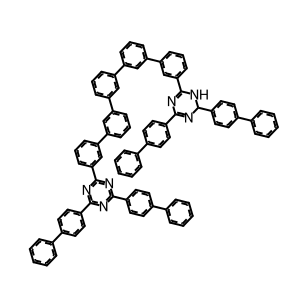 c1ccc(-c2ccc(C3=NC(c4ccc(-c5ccccc5)cc4)NC(c4cccc(-c5cccc(-c6cccc(-c7cccc(-c8cccc(-c9nc(-c%10ccc(-c%11ccccc%11)cc%10)nc(-c%10ccc(-c%11ccccc%11)cc%10)n9)c8)c7)c6)c5)c4)=N3)cc2)cc1